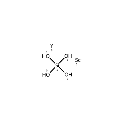 O[Si](O)(O)O.[Sc].[Y]